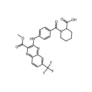 COC(=O)c1nc2ccc(C(F)(F)F)cc2nc1Nc1ccc(C(=O)N2CCCCC2C(=O)O)cc1